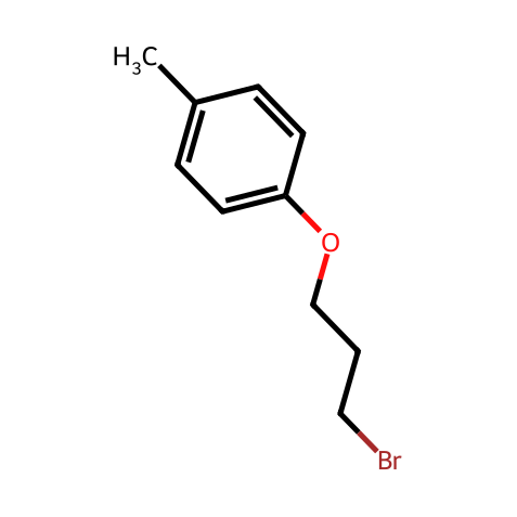 Cc1ccc(OCCCBr)cc1